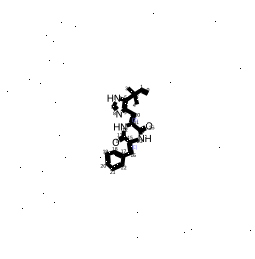 C=CC(C)(C)c1[nH]cnc1/C=c1\[nH]c(=O)/c(=C\c2ccccc2)[nH]c1=O